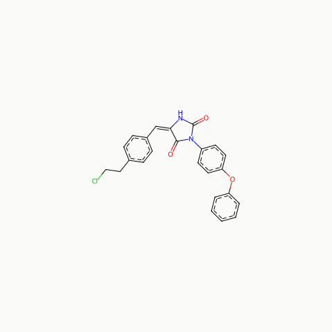 O=C1N/C(=C/c2ccc(CCCl)cc2)C(=O)N1c1ccc(Oc2ccccc2)cc1